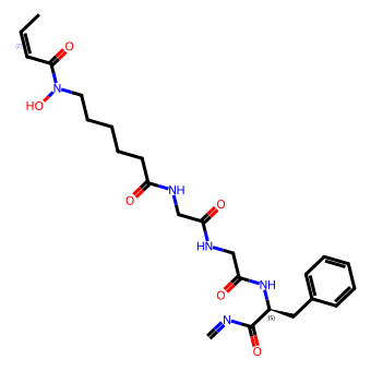 C=NC(=O)[C@H](Cc1ccccc1)NC(=O)CNC(=O)CNC(=O)CCCCCN(O)C(=O)/C=C\C